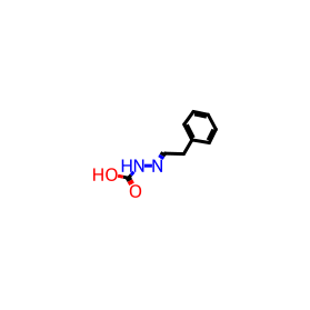 O=C(O)NN=CCc1ccccc1